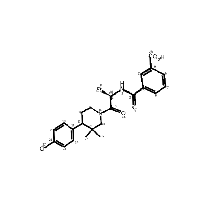 CC[C@@H](NC(=O)c1cccc(C(=O)O)c1)C(=O)N1CCC(c2ccc(Cl)cc2)C(C)(C)C1